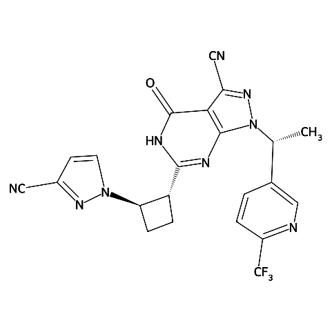 C[C@H](c1ccc(C(F)(F)F)nc1)n1nc(C#N)c2c(=O)[nH]c([C@@H]3CC[C@H]3n3ccc(C#N)n3)nc21